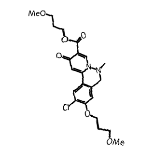 COCCCOC(=O)c1cn2c(cc1=O)-c1cc(Cl)c(OCCCOC)cc1CN2C